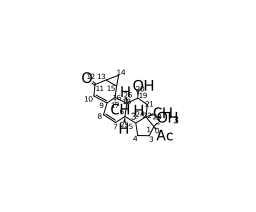 CC(=O)[C@@]1(O)CC[C@H]2[C@@H]3C=CC4=CC(=O)C5CC5[C@@]4(C)[C@@H]3[C@@H](O)C[C@@]21C